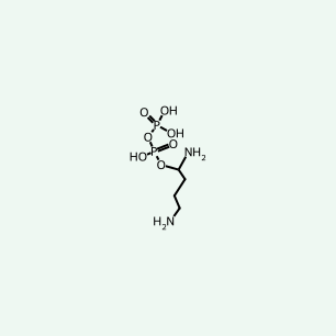 NCCCC(N)OP(=O)(O)OP(=O)(O)O